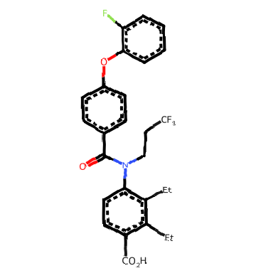 CCc1c(C(=O)O)ccc(N(CCC(F)(F)F)C(=O)c2ccc(Oc3ccccc3F)cc2)c1CC